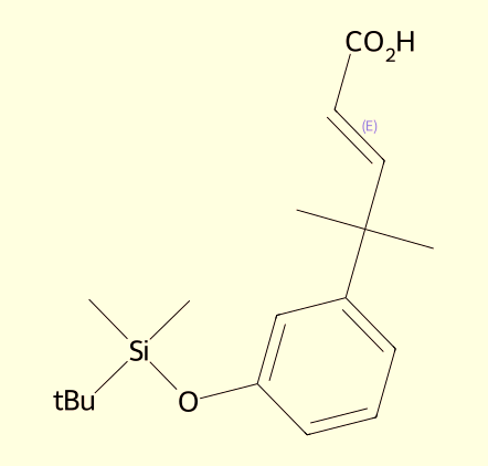 CC(C)(/C=C/C(=O)O)c1cccc(O[Si](C)(C)C(C)(C)C)c1